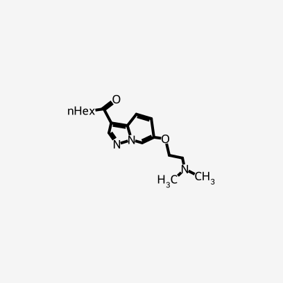 CCCCCCC(=O)c1cnn2cc(OCCN(C)C)ccc12